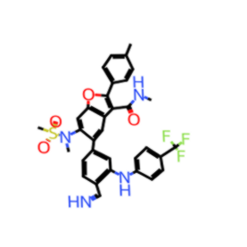 CNC(=O)c1c(-c2ccc(C)cc2)oc2cc(N(C)S(C)(=O)=O)c(-c3ccc(C=N)c(Nc4ccc(C(F)(F)F)cc4)c3)cc12